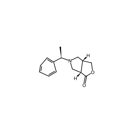 C[C@H](c1ccccc1)N1C[C@@H]2COC(=O)[C@@H]2C1